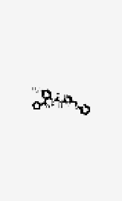 Cc1ccc(NC(=O)Nc2ncc(COc3ccccn3)s2)c(C(=O)C2CCCC2)c1